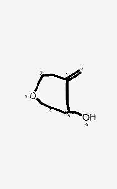 C=C1COCC1O